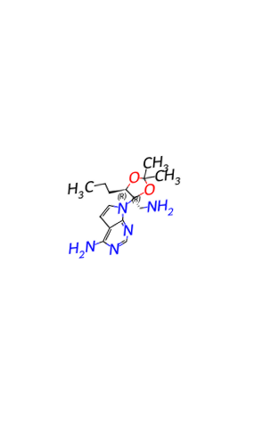 CCC[C@H]1OC(C)(C)O[C@@]1(CN)n1ccc2c(N)ncnc21